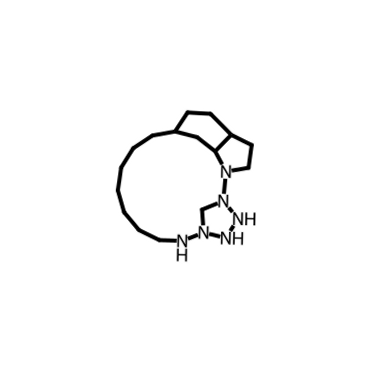 C1CCCNN2CN(NN2)N2CCC3CCC(CCC1)CC32